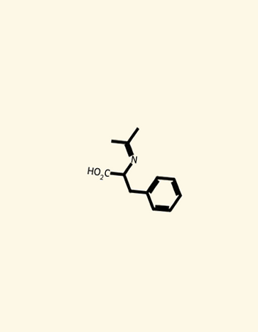 CC(C)=NC(Cc1ccccc1)C(=O)O